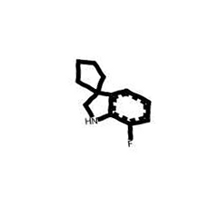 Fc1cccc2c1NCC21CCCC1